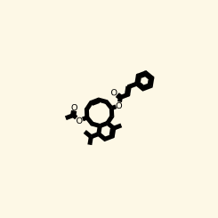 CC(=O)OC1C/C=C\CC(OC(=O)C=Cc2ccccc2)CC2C(C)=CCC(C(C)C)C2C1